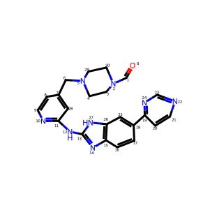 O=CN1CCN(Cc2ccnc(Nc3nc4ccc(-c5ccncn5)cc4[nH]3)c2)CC1